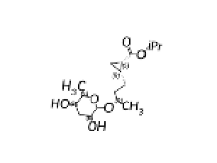 CC(C)OC(=O)[C@H]1C[C@H]1CC[C@@H](C)OC1O[C@@H](C)[C@H](O)C[C@H]1O